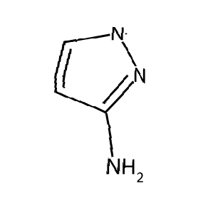 NC1=N[N]C=C1